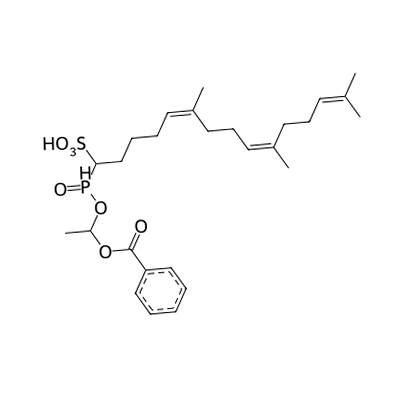 CC(C)=CCCC(C)=CCCC(C)=CCCCC([PH](=O)OC(C)OC(=O)c1ccccc1)S(=O)(=O)O